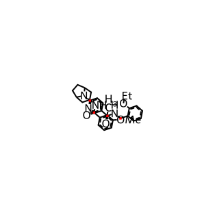 CCOc1ccccc1CNC(=O)c1ccc(N2C3CCC2CC(NC(=O)c2cccc(OC)c2C)C3)nc1